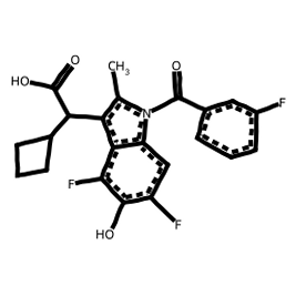 Cc1c(C(C(=O)O)C2CCC2)c2c(F)c(O)c(F)cc2n1C(=O)c1cccc(F)c1